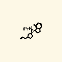 C=CCC1CCC(B(C2CCC3C=CC=CC32)N(C(C)C)C(C)C)C1